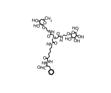 C[C@H]1C[C@@H](O)[C@H](O)[C@H](OCCNC(=O)CN(CC(=O)NCCCCCC(=O)NN[C@H](C=O)Cc2ccccc2)CC(=O)NCCO[C@@H]2O[C@H](CO)[C@@H](O)[C@H](O)[C@@H]2O)O1